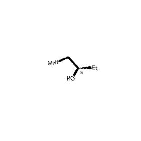 CC[C@@H](O)CNC